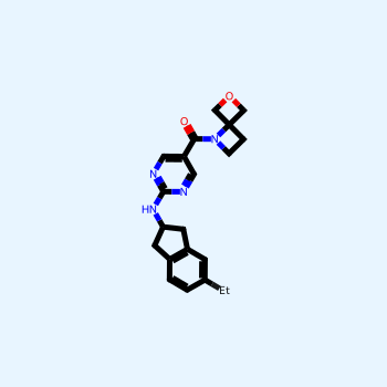 CCc1ccc2c(c1)CC(Nc1ncc(C(=O)N3CCC34COC4)cn1)C2